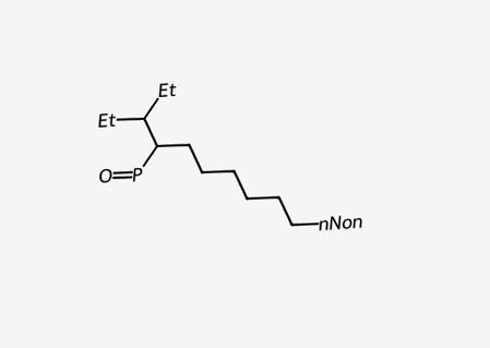 CCCCCCCCCCCCCCCC(P=O)C(CC)CC